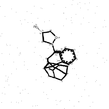 CC1C2CC3CC1CC(C2)C3(CC(=O)N1C[C@H](O)CO1)c1ccccc1